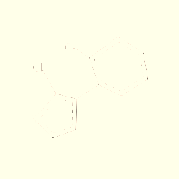 Clc1ccccc1-c1c[c]sc1Cl